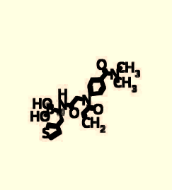 C=CC(=O)N(CC(=O)N[C@@H](Cc1ccsc1)B(O)O)c1ccc(C(=O)N(C)C)cc1